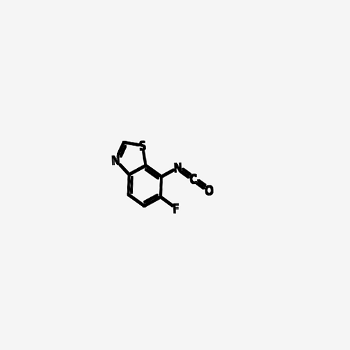 O=C=Nc1c(F)ccc2ncsc12